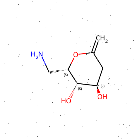 C=C1C[C@@H](O)[C@H](O)[C@H](CN)O1